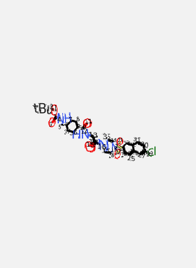 CC(C)(C)OC(=O)NC[C@H]1CC[C@H](C(=O)NCC(=O)N2CCN(S(=O)(=O)c3ccc4cc(Cl)ccc4c3)CC2)CC1